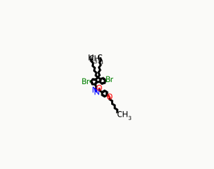 CCCCCCCCOc1ccc(-c2nnc(-c3cc(Br)cc4c3-c3ccc(Br)cc3C4(CCCCCCCC)CCCCCCCC)o2)cc1